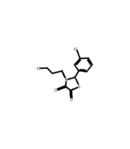 O=C1SC(c2cccc(Cl)c2)N(CCCCl)C1=O